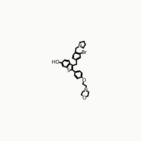 Oc1ccc2c(Cc3ccc(CN4CCCC4)c(Br)c3)c(-c3ccc(OCCN4CCOCC4)cc3)sc2c1